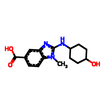 Cn1c(NC2CCC(O)CC2)nc2cc(C(=O)O)ccc21